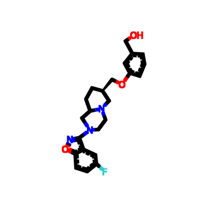 OCc1cccc(OC[C@@H]2CCC3CN(c4noc5ccc(F)cc45)CCN3C2)c1